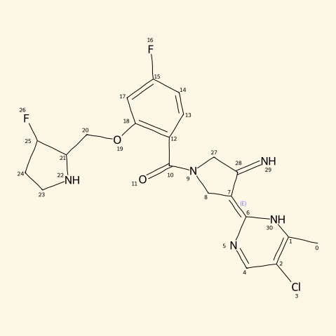 CC1=C(Cl)C=N/C(=C2\CN(C(=O)c3ccc(F)cc3OCC3NCCC3F)CC2=N)N1